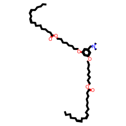 CCCCC/C=C\C/C=C\CCCCCCCC(=O)OCCCCCCCCOc1cc(CN(C)C)cc(OCCCCCCCCOC(=O)CCCCCCC/C=C\C/C=C\CCCCC)c1